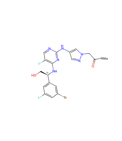 CNC(=O)Cn1cc(Nc2ncc(F)c(N[C@H](CO)c3cc(F)cc(Br)c3)n2)cn1